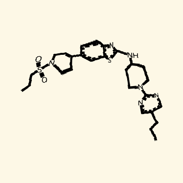 CCCc1cnc(N2CCC(Nc3nc4ccc(C5=CCN(S(=O)(=O)CCC)CC5)cc4s3)CC2)nc1